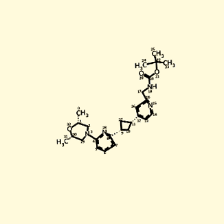 C[C@@H]1CN(c2cccc([C@H]3C[C@@H](c4ccnc(CNC(=O)OC(C)(C)C)c4)C3)n2)C[C@H](C)O1